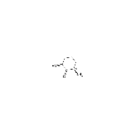 N=C1CCC[C@@H](N)C1=O